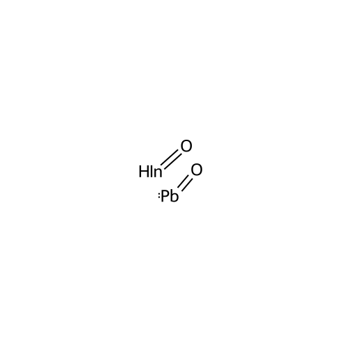 [O]=[InH].[O]=[Pb]